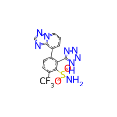 NS(=O)(=O)c1c(C(F)(F)F)ccc(-c2cccn3ncnc23)c1-c1nnn[nH]1